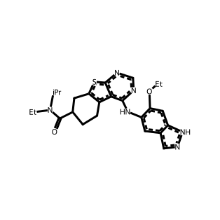 CCOc1cc2[nH]ncc2cc1Nc1ncnc2sc3c(c12)CCC(C(=O)N(CC)C(C)C)C3